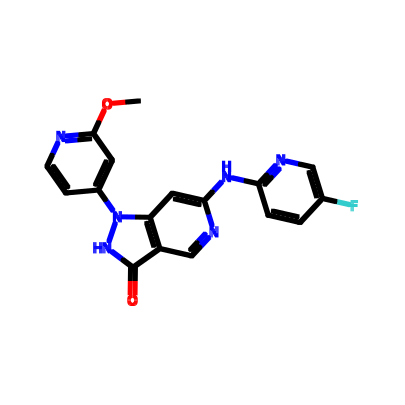 COc1cc(-n2[nH]c(=O)c3cnc(Nc4ccc(F)cn4)cc32)ccn1